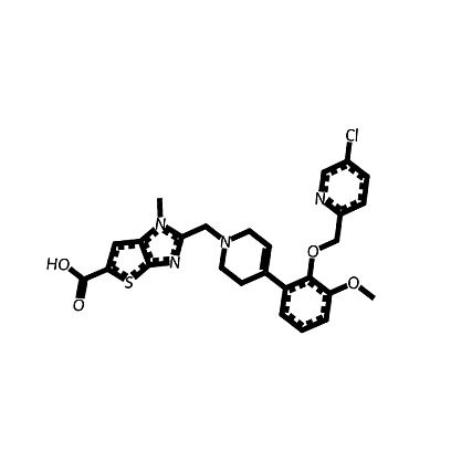 COc1cccc(C2=CCN(Cc3nc4sc(C(=O)O)cc4n3C)CC2)c1OCc1ccc(Cl)cn1